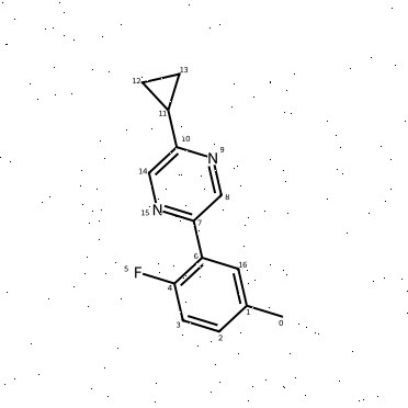 Cc1ccc(F)c(-c2cnc(C3CC3)cn2)c1